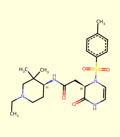 CCN1CC[C@H](NC(=O)C[C@@H]2C(=O)NC=CN2S(=O)(=O)c2ccc(C)cc2)C(C)(C)C1